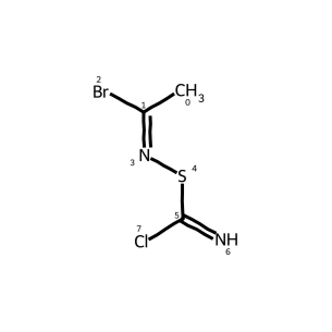 C/C(Br)=N\SC(=N)Cl